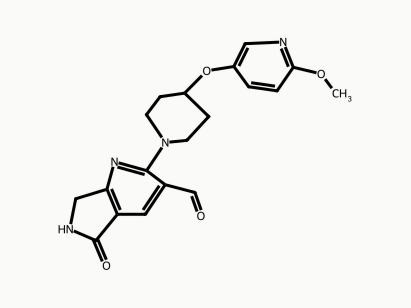 COc1ccc(OC2CCN(c3nc4c(cc3C=O)C(=O)NC4)CC2)cn1